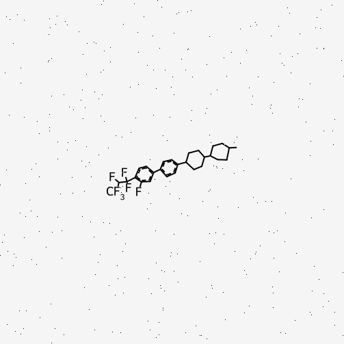 CC1CCC(C2CCC(c3ccc(-c4ccc(C(F)(F)C(F)C(F)(F)F)c(F)c4)cc3)CC2)CC1